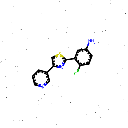 Nc1ccc(Cl)c(-c2nc(-c3cccnc3)cs2)c1